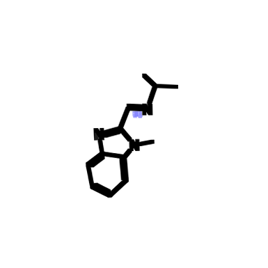 CC(C)/N=C/c1nc2ccccc2n1C